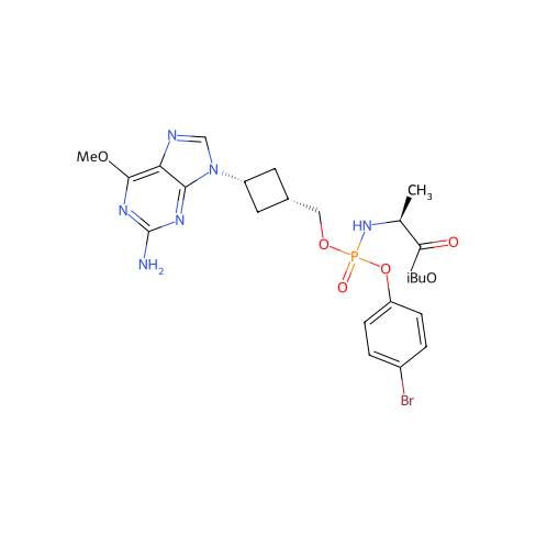 COc1nc(N)nc2c1ncn2[C@H]1C[C@@H](COP(=O)(N[C@@H](C)C(=O)OCC(C)C)Oc2ccc(Br)cc2)C1